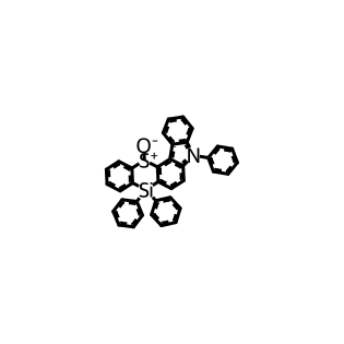 [O-][S+]1c2ccccc2[Si](c2ccccc2)(c2ccccc2)c2ccc3c(c21)c1ccccc1n3-c1ccccc1